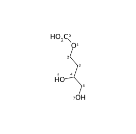 O=C(O)OCCC(O)CO